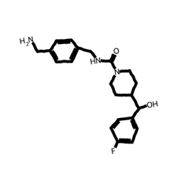 NCc1ccc(CNC(=O)N2CCC(C(O)c3ccc(F)cc3)CC2)cc1